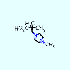 CN1CCN(CC(C)(C)C(=O)O)CC1